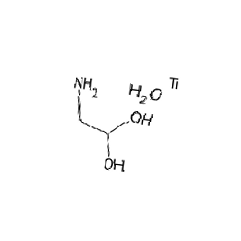 NCC(O)O.O.[Ti]